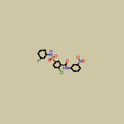 O=C(Nc1cccc([N+](=O)[O-])c1)c1cc(S(=O)(=O)Nc2cccc(F)c2)ccc1Cl